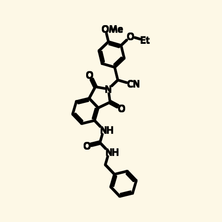 CCOc1cc(C(C#N)N2C(=O)c3cccc(NC(=O)NCc4ccccc4)c3C2=O)ccc1OC